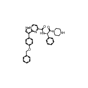 O=C(N[C@@H](C(=O)N1CCNCC1)c1ccccc1)c1ccn2ncc(-c3ccc(OCc4ccccc4)cc3)c2n1